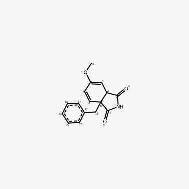 COC1=CC2C(=O)NC(=O)C2(Cc2ccccc2)C=C1